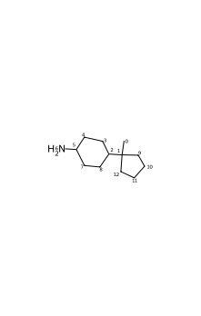 CC1(C2CCC(N)CC2)CCCC1